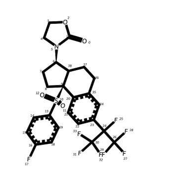 O=C1OCCN1[C@@H]1CC[C@@]2(S(=O)(=O)c3ccc(F)cc3)c3ccc(C(F)(C(F)(F)F)C(F)(F)F)cc3CCC12